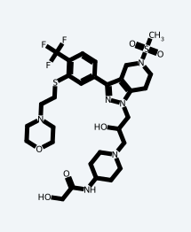 CS(=O)(=O)N1CCc2c(c(-c3ccc(C(F)(F)F)c(SCCN4CCOCC4)c3)nn2CC(O)CN2CCC(NC(=O)CO)CC2)C1